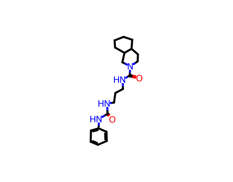 O=C(NCCCNC(=O)N1CCC2CCCCC2C1)Nc1ccccc1